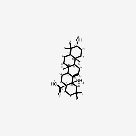 CC1(C)CC[C@]2(C(=O)O)CCC3C(=CCC4[C@@]3(C)CCC3C(C)(C)[C@@H](O)CC[C@@]34C)[C@]2(N)C1